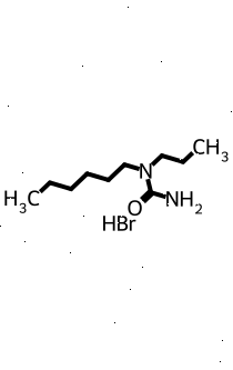 Br.CCCCCCN(CCC)C(N)=O